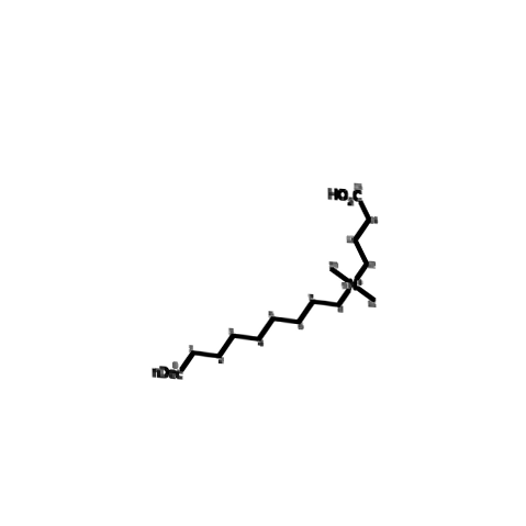 CCCCCCCCCCCCCCCCCC[N+](C)(C)CCCC(=O)O